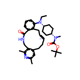 CCN(c1cccc2c1C/C=C/CCc1cc(C)nc(C)c1CNC2=O)[C@H]1CC[C@@H](N(C)C(=O)OC(C)(C)C)CC1